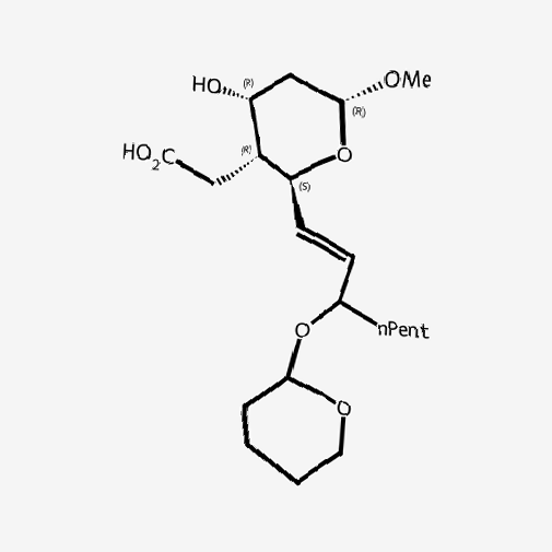 CCCCCC(C=C[C@@H]1O[C@@H](OC)C[C@@H](O)[C@H]1CC(=O)O)OC1CCCCO1